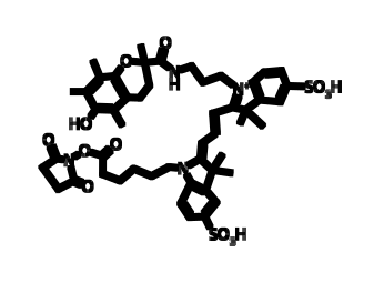 Cc1c(C)c2c(c(C)c1O)CCC(C)(C(=O)NCCC[N+]1=C(/C=C/C=C3/N(CCCCCC(=O)ON4C(=O)CCC4=O)c4ccc(S(=O)(=O)O)cc4C3(C)C)C(C)(C)c3cc(S(=O)(=O)O)ccc31)O2